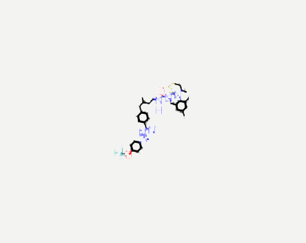 C=N/C(=N\N(C)c1ccc(OC(F)(F)F)cc1)c1ccc(CC(C)CCNC(=O)/N=C2\SCCC(C)N2c2c(C)cc(C)cc2C)cc1